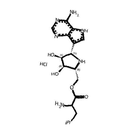 CC(C)CC(N)C(=O)OC[C@H]1N[C@@H](c2c[nH]c3c(N)ncnc23)[C@H](O)[C@@H]1O.Cl